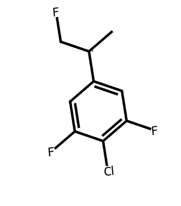 C[C](CF)c1cc(F)c(Cl)c(F)c1